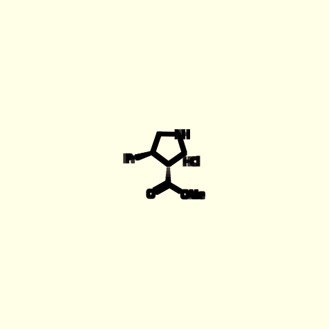 COC(=O)[C@H]1CNC[C@@H]1C(C)C.Cl